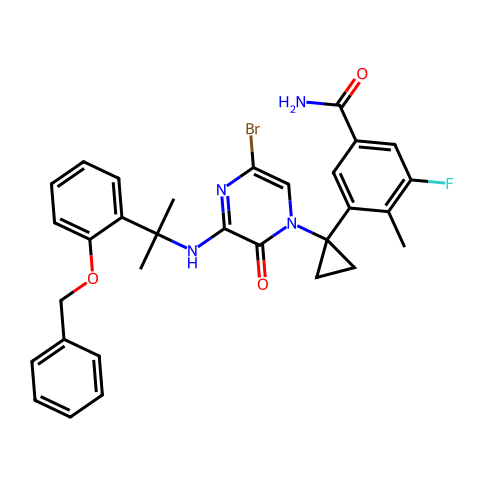 Cc1c(F)cc(C(N)=O)cc1C1(n2cc(Br)nc(NC(C)(C)c3ccccc3OCc3ccccc3)c2=O)CC1